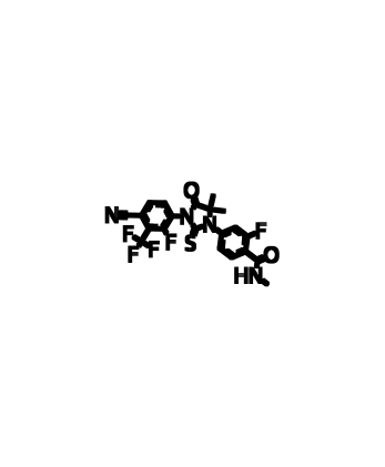 CNC(=O)c1ccc(N2C(=S)N(c3ccc(C#N)c(C(F)(F)F)c3F)C(=O)C2(C)C)cc1F